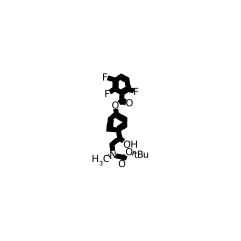 CN(CC(O)c1ccc(OC(=O)c2c(F)ccc(F)c2F)cc1)C(=O)OC(C)(C)C